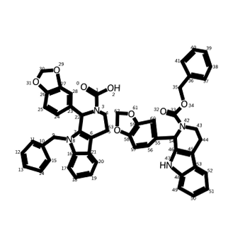 O=C(O)N1CCc2c(n(Cc3ccccc3)c3ccccc23)C1c1ccc2c(c1)OCO2.O=C(OCc1ccccc1)N1CCc2c([nH]c3ccccc23)C1c1ccc2c(c1)OCO2